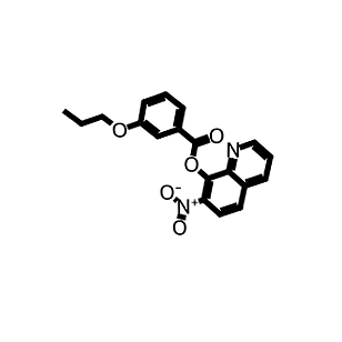 CCCOc1cccc(C(=O)Oc2c([N+](=O)[O-])ccc3cccnc23)c1